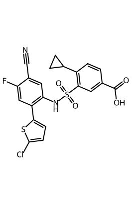 N#Cc1cc(NS(=O)(=O)c2cc(C(=O)O)ccc2C2CC2)c(-c2ccc(Cl)s2)cc1F